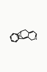 C1=NCC2=C3NC(CC2=C1)c1ccccc13